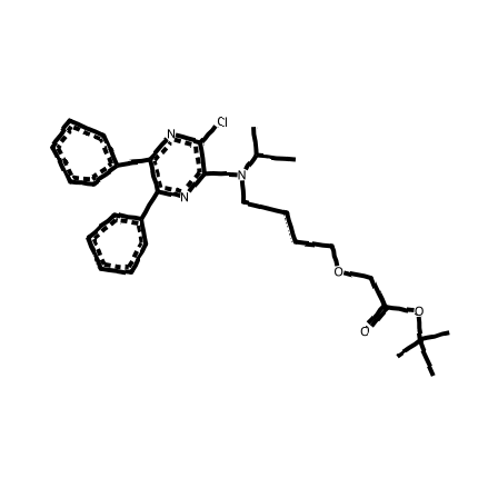 CC(C)N(CCCCOCC(=O)OC(C)(C)C)c1nc(-c2ccccc2)c(-c2ccccc2)nc1Cl